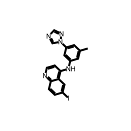 Cc1cc(Nc2ccnc3ccc(I)cc23)cc(-n2cncn2)c1